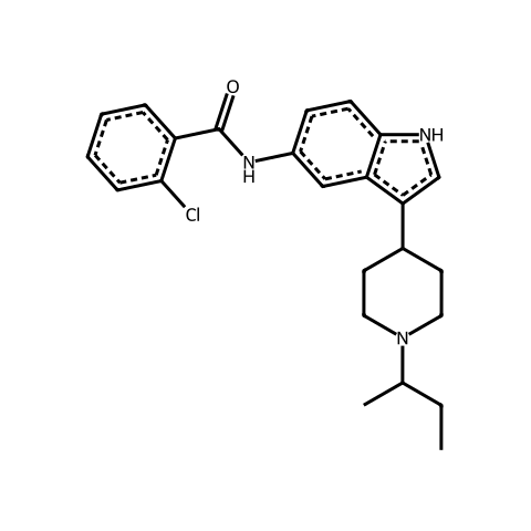 CCC(C)N1CCC(c2c[nH]c3ccc(NC(=O)c4ccccc4Cl)cc23)CC1